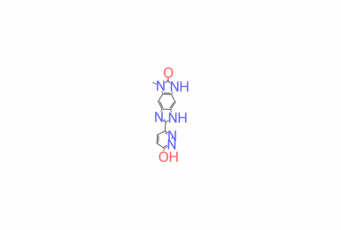 Cn1c(=O)[nH]c2cc3[nH]c(-c4ccc(O)nn4)nc3cc21